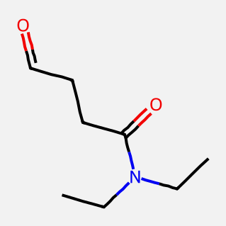 CCN(CC)C(=O)CCC=O